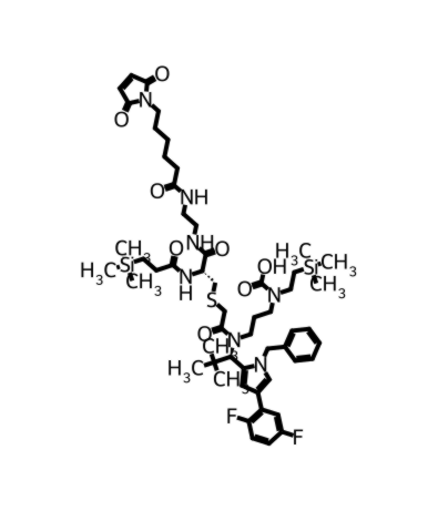 CC(C)(C)[C@H](c1cc(-c2cc(F)ccc2F)cn1Cc1ccccc1)N(CCCN(CC[Si](C)(C)C)C(=O)O)C(=O)CSC[C@H](NC(=O)CC[Si](C)(C)C)C(=O)NCCNC(=O)CCCCCN1C(=O)C=CC1=O